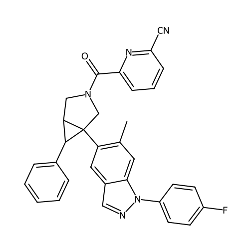 Cc1cc2c(cnn2-c2ccc(F)cc2)cc1C12CN(C(=O)c3cccc(C#N)n3)CC1C2c1ccccc1